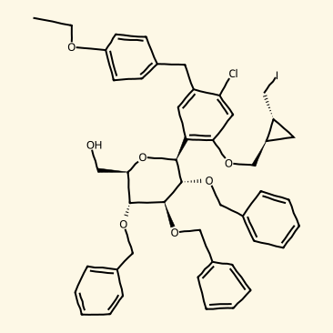 CCOc1ccc(Cc2cc([C@@H]3O[C@H](CO)[C@@H](OCc4ccccc4)[C@H](OCc4ccccc4)[C@H]3OCc3ccccc3)c(OC[C@@H]3C[C@H]3CI)cc2Cl)cc1